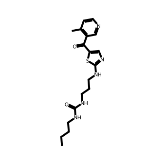 CCCCNC(=O)NCCCNc1ncc(C(=O)c2cnccc2C)s1